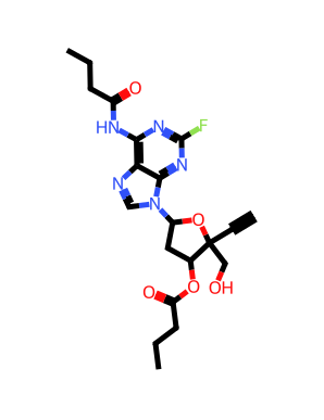 C#CC1(CO)OC(n2cnc3c(NC(=O)CCC)nc(F)nc32)CC1OC(=O)CCC